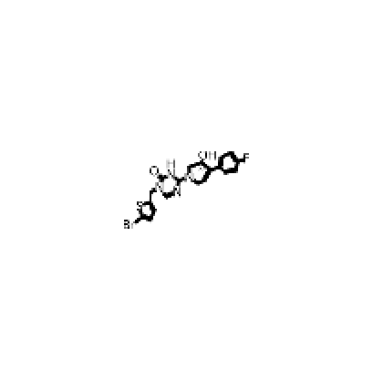 O=C1NC(N2CC=C(c3ccc(F)cc3)[C@@H](O)C2)N=CN1Cc1ccc(Br)s1